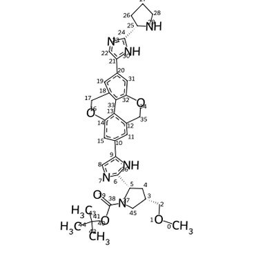 COC[C@H]1C[C@@H](c2ncc(-c3cc4c5c(c3)OCc3cc(-c6cnc([C@@H]7CCCN7)[nH]6)cc(c3-5)OC4)[nH]2)N(C(=O)OC(C)(C)C)C1